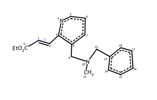 CCOC(=O)/C=C/c1ncccc1CN(C)Cc1ccccc1